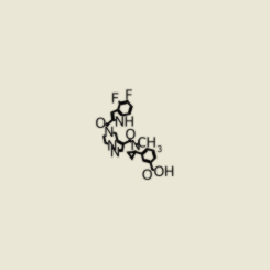 CN(C(=O)c1cnn2c1CN(C(=O)c1cc3c(F)c(F)ccc3[nH]1)CC2)C1(c2cccc(C(=O)O)c2)CC1